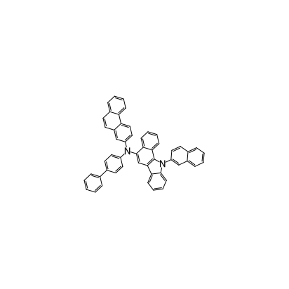 c1ccc(-c2ccc(N(c3ccc4c(ccc5ccccc54)c3)c3cc4c5ccccc5n(-c5ccc6ccccc6c5)c4c4ccccc34)cc2)cc1